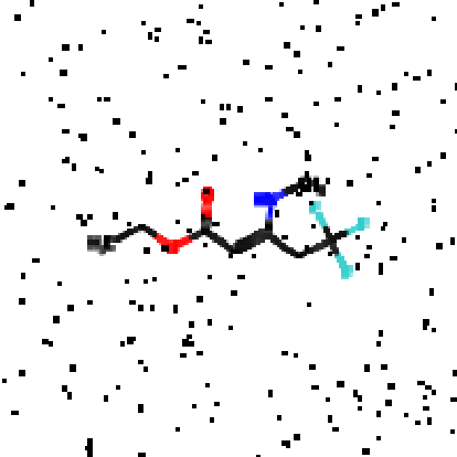 CCOC(=O)C=C(CC(F)(F)F)NC